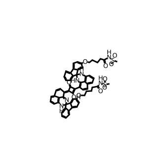 CS(=O)(=O)NC(=O)CCCCOc1ccc2c(c1)C1(N=c3/c(=C4/C(=O)C(c5ccc6cccc7c6c5NC5(N7)c6ccccc6-c6ccc(OCCCCC(=O)NS(C)(=O)=O)cc65)=C4O)ccc4cccc(c34)N1)c1ccccc1-2